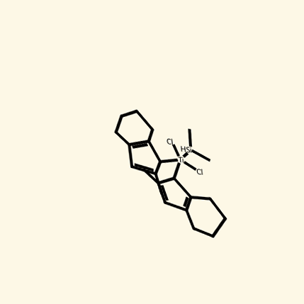 CC1=CC2=C(CCCC2)[CH]1[Ti]([Cl])([Cl])([CH]1C(C)=CC2=C1CCCC2)[SiH](C)C